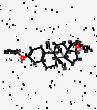 CCCCCOC1=CCC2=C(CC[C@@H]3[C@@H]2CC[C@@]2(CC(C)C)[C@H]3CC[C@]2(C)O)C1